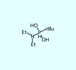 CCCC[PH](O)(O)N(CC)CC